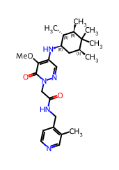 COc1c(N[C@@H]2C[C@H](C)C(C)(C)[C@H](C)[C@H]2C)cnn(CC(=O)NCc2ccncc2C)c1=O